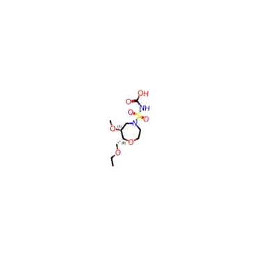 CCOC[C@H]1OCCN(S(=O)(=O)NC(=O)O)C[C@@H]1OC